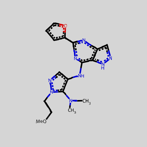 COCCn1ncc(Nc2nc(-c3ccco3)nc3cn[nH]c23)c1N(C)C